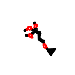 CO[Si](CCCOC1CC1)(OC)OC